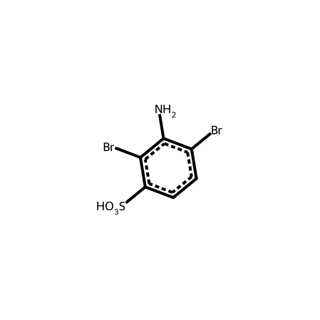 Nc1c(Br)ccc(S(=O)(=O)O)c1Br